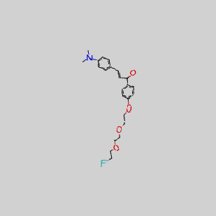 CN(C)c1ccc(C=CC(=O)c2ccc(OCCOCCOCCF)cc2)cc1